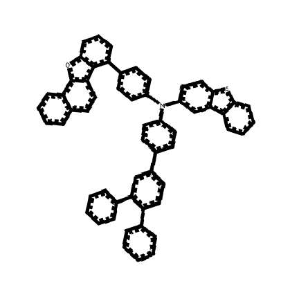 c1ccc(-c2ccc(-c3ccc(N(c4ccc(-c5cccc6oc7c8ccccc8ccc7c56)cc4)c4ccc5sc6ccccc6c5c4)cc3)cc2-c2ccccc2)cc1